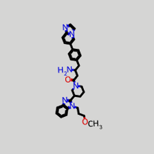 COCCCn1c(C2CCCN(C(=O)CC(N)Cc3ccc(-c4ccc5nccn5c4)cc3)C2)nc2ccccc21